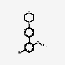 COc1ccc(Br)cc1-c1ccc(N2CCOCC2)nn1